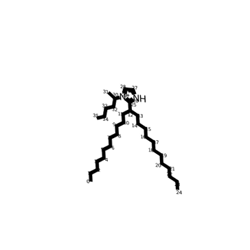 CCCCCCCCCCCCC(CCCCCCCCCCCC)c1[nH]cc[n+]1C(C)CCCC